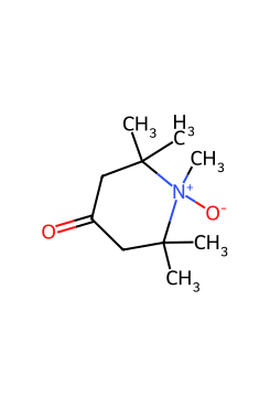 CC1(C)CC(=O)CC(C)(C)[N+]1(C)[O-]